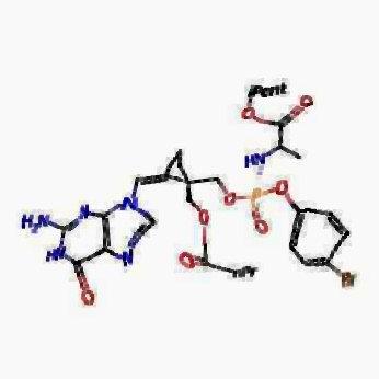 CCCC(=O)OC[C@]1(CO[P@@](=O)(NC(C)C(=O)OC(C)CCC)Oc2ccc(Br)cc2)C/C1=C/n1cnc2c(=O)[nH]c(N)nc21